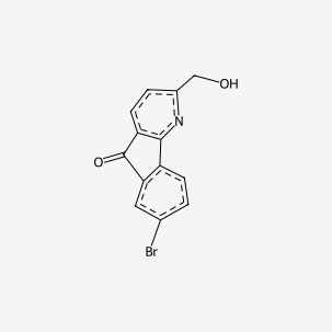 O=C1c2cc(Br)ccc2-c2nc(CO)ccc21